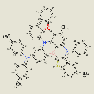 Cc1cc2c3c(c1)N(c1cccc4c1oc1ccccc14)c1cc(N(c4ccc(C(C)(C)C)cc4)c4ccc(C(C)(C)C)cc4)ccc1B3c1sc3ccc(C(C)(C)C)cc3c1N2c1ccccc1